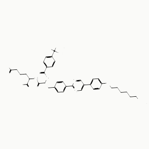 CCCCCCCOc1ccc(-c2cnc(-c3ccc(C[C@H](NC(=O)c4ccc(C(C)(C)C)cc4)C(=O)NC(CCCC(=O)O)C(=O)O)cc3)nc2)cc1